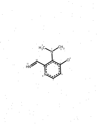 CN(C)c1c(Cl)ccnc1C=N